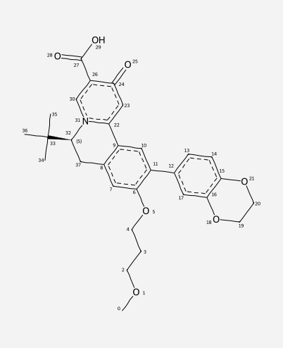 COCCCOc1cc2c(cc1-c1ccc3c(c1)OCCO3)-c1cc(=O)c(C(=O)O)cn1[C@H](C(C)(C)C)C2